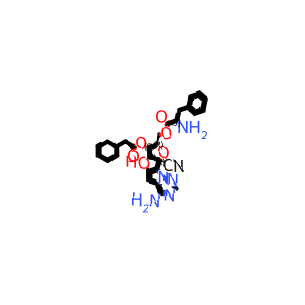 N#C[C@@]1(c2ccc3c(N)ncnn23)O[C@H](COC(=O)[C@@H](N)Cc2ccccc2)[C@@H](OC(=O)CC2CCCCC2)[C@H]1O